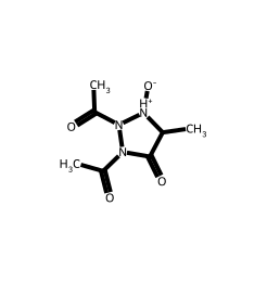 CC(=O)N1C(=O)C(C)[NH+]([O-])N1C(C)=O